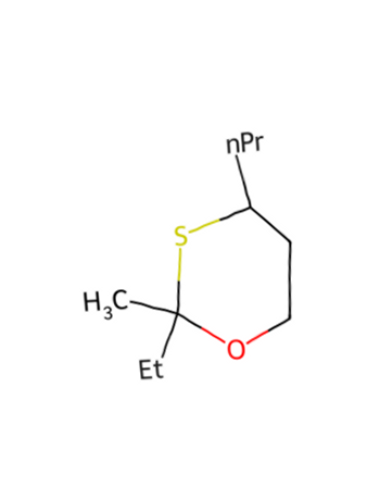 CCCC1CCOC(C)(CC)S1